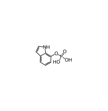 O=P(O)(O)Oc1cccc2cc[nH]c12